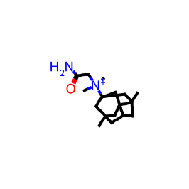 CC12CC3CC4(C)CC([N+](C)(C)CC(N)=O)(C1)CC34C2